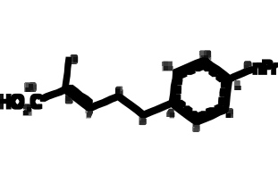 CCCc1ccc(CCC=C(C)C(=O)O)cc1